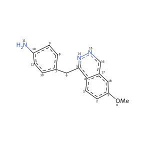 COc1ccc2c(Cc3ccc(N)cc3)nncc2c1